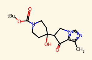 Cc1ncn2c1C(=O)C(C1(O)CCN(C(=O)OC(C)(C)C)CC1)C2